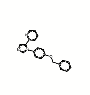 c1ccc(COc2ccc(-n3cncc3-c3ccccn3)cc2)cc1